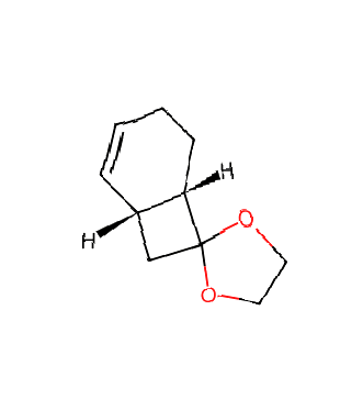 C1=C[C@H]2CC3(OCCO3)[C@H]2CC1